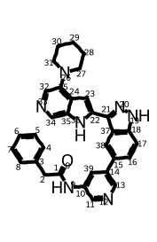 O=C(Cc1ccccc1)Nc1cncc(-c2ccc3[nH]nc(-c4cc5c(N6CCCCC6)cncc5[nH]4)c3c2)c1